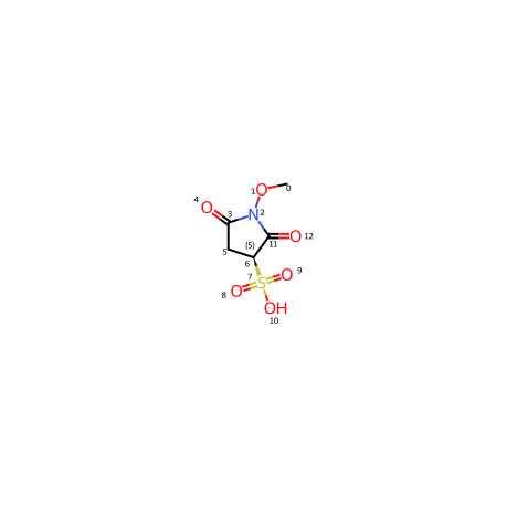 CON1C(=O)C[C@H](S(=O)(=O)O)C1=O